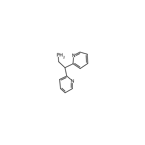 PCC(c1ccccn1)c1ccccn1